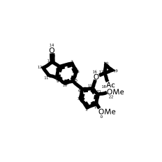 COc1ccc(-c2ccc3c(c2)CCC3=O)c(OC2(C(C)=O)CC2)c1OC